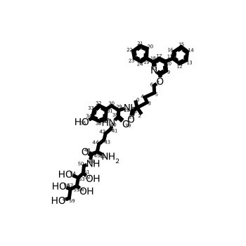 CC(C)(CCCCOc1cc(-c2ccccc2)cc(-c2ccccc2)n1)C(=O)NC(Cc1ccc(O)cc1)C(=O)NCCCCC(N)C(=O)NCC(O)C(O)C(O)C(O)CO